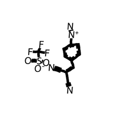 N#CC(C#N)=Cc1ccc([N+]#N)cc1.O=S(=O)([O-])C(F)(F)F